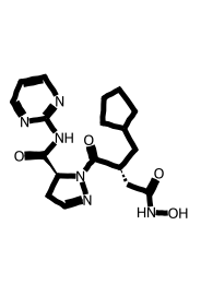 O=C(C[C@@H](CC1CCCC1)C(=O)N1N=CC[C@H]1C(=O)Nc1ncccn1)NO